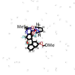 COCOc1cc(-c2c(Br)c(F)c3nc(SC)nc(N4C[C@H]5CC[C@@H](C4)N5C(=O)OC(C)(C)C)c3c2F)c2c(F)cccc2c1